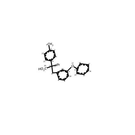 Cc1ccc(C(Cc2cccc(Oc3ccccc3)c2)(C(=O)O)C(C)C)cc1